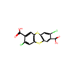 O=C(O)c1cc2c(cc1Cl)Sc1cc(C(=O)O)c(Cl)cc1S2